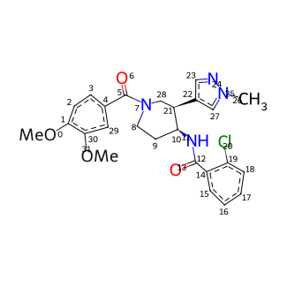 COc1ccc(C(=O)N2CC[C@H](NC(=O)c3ccccc3Cl)[C@H](c3cnn(C)c3)C2)cc1OC